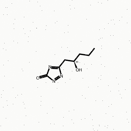 CCC[C@@H](O)CC1=NC(=O)N=N1